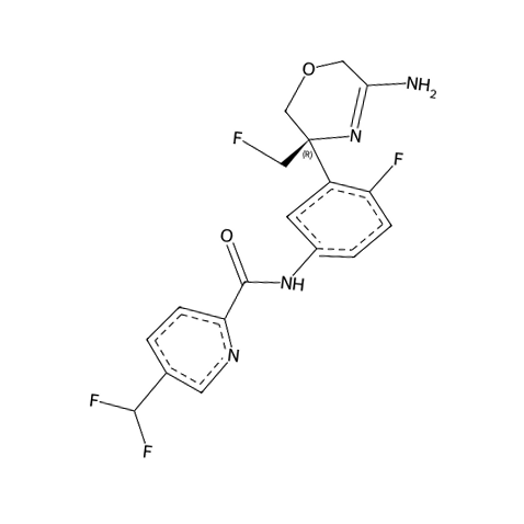 NC1=N[C@](CF)(c2cc(NC(=O)c3ccc(C(F)F)cn3)ccc2F)COC1